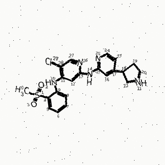 CS(=O)(=O)c1ccccc1Nc1cc(Nc2cc(C3CCNC3)ccn2)ncc1Cl